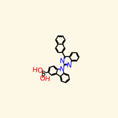 OB(O)c1ccc2c(c1)c1ccccc1n2-c1nc(-c2ccc3ccccc3c2)c2ccccc2n1